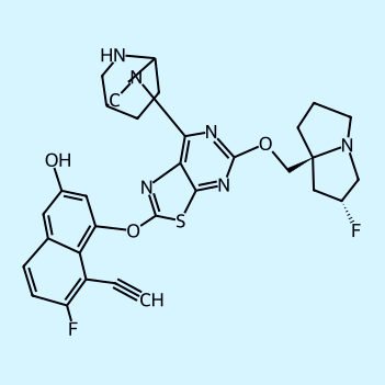 C#Cc1c(F)ccc2cc(O)cc(Oc3nc4c(N5CC6CCC(C5)NC6)nc(OC[C@@]56CCCN5C[C@H](F)C6)nc4s3)c12